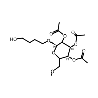 COCC1O[C@@H](OCCCCO)C(OC(C)=O)[C@@H](OC(C)=O)[C@H]1OC(C)=O